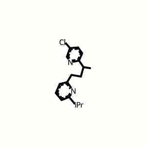 CC(C)c1cccc(CCC(C)c2ccc(Cl)cn2)n1